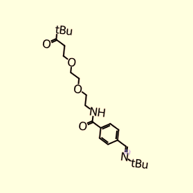 CC(C)(C)/N=C/c1ccc(C(=O)NCCOCCOCCC(=O)C(C)(C)C)cc1